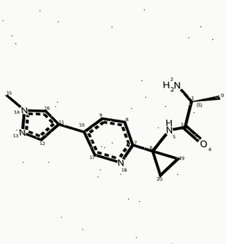 C[C@H](N)C(=O)NC1(c2ccc(-c3cnn(C)c3)cn2)CC1